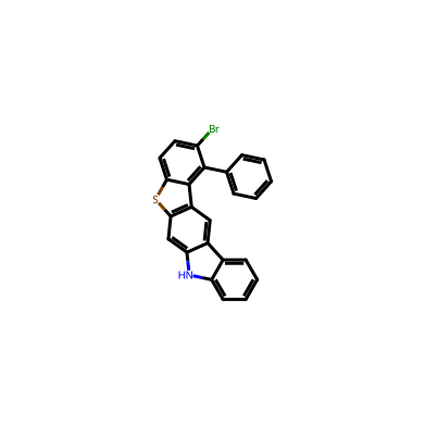 Brc1ccc2sc3cc4[nH]c5ccccc5c4cc3c2c1-c1ccccc1